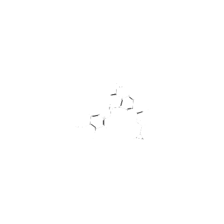 COC(=O)c1ccc(C(=O)NCC2CC2)cc1NCc1ccc(OC)c(F)c1